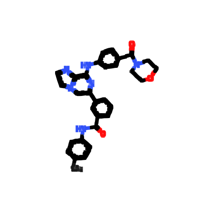 CC(C)(C)c1ccc(NC(=O)c2cccc(-c3cn4ccnc4c(Nc4ccc(C(=O)N5CCOCC5)cc4)n3)c2)cc1